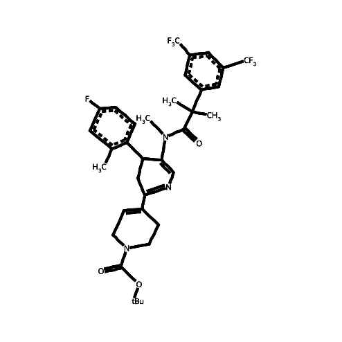 Cc1cc(F)ccc1C1CC(C2=CCN(C(=O)OC(C)(C)C)CC2)=NC=C1N(C)C(=O)C(C)(C)c1cc(C(F)(F)F)cc(C(F)(F)F)c1